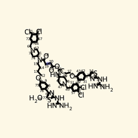 N=C(N)Nc1nc(-c2ccc(OCCCCN(C(=O)/C=C/C(=O)OC(CCCOc3ccc(-c4csc(NC(=N)N)n4)cc3)NC3CCN(Cc4ccc(Cl)c(Cl)c4)CC3)C3CCN(Cc4ccc(Cl)c(Cl)c4)CC3)cc2)cs1.O